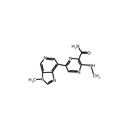 CNc1ncc(-c2cncc3c2ncn3C)nc1C(N)=O